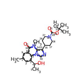 Cc1cc(C(C)O)c2c(c1)c(=O)n(C)c1c(C3CCN(C(=O)OC(C)(C)C)CC3)ncn21